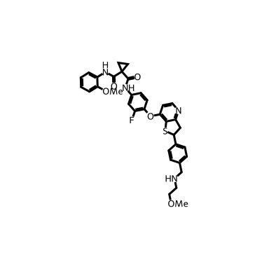 COCCNCc1ccc(C2Cc3nccc(Oc4ccc(NC(=O)C5(C(=O)Nc6ccccc6OC)CC5)cc4F)c3S2)cc1